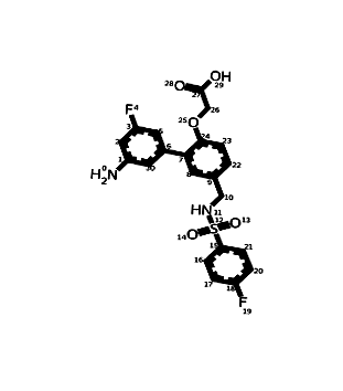 Nc1cc(F)cc(-c2cc(CNS(=O)(=O)c3ccc(F)cc3)ccc2OCC(=O)O)c1